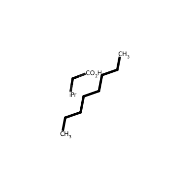 CC(C)CC(=O)O.CCCCCCCC